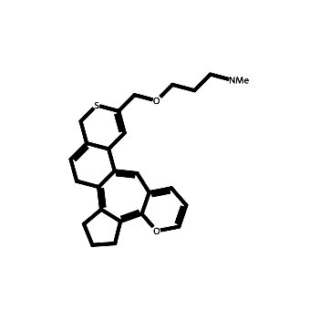 CNCCCOCC1=CC2C(=CCC3=C4CCCC4=C4OC=CC=C4C=C32)CS1